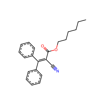 CCCCCCOC(=O)C(C#N)=C(c1ccccc1)c1ccccc1